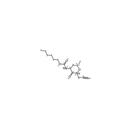 CCCCCCOC(=O)NC(C[S+](C)[O-])C(=O)NCC#N